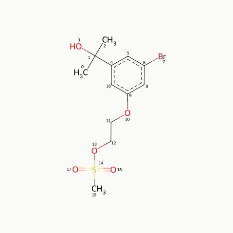 CC(C)(O)c1cc(Br)cc(OCCOS(C)(=O)=O)c1